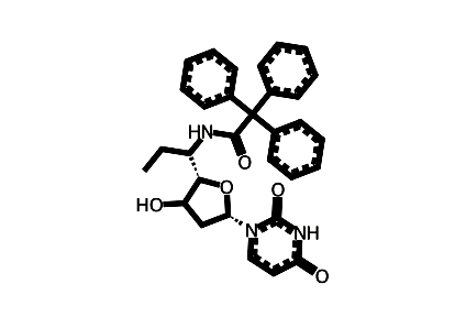 CCC(NC(=O)C(c1ccccc1)(c1ccccc1)c1ccccc1)[C@@H]1O[C@H](n2ccc(=O)[nH]c2=O)CC1O